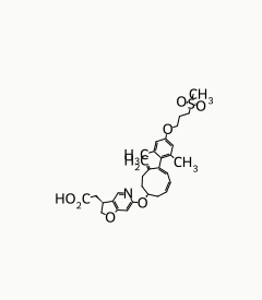 C=C1CC[C@H](Oc2cc3c(cn2)[C@H](CC(=O)O)CO3)C/C=C\C=C/1c1c(C)cc(OCCCS(C)(=O)=O)cc1C